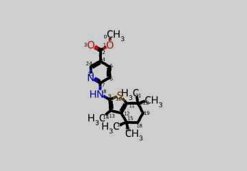 COC(=O)c1ccc(Nc2sc3c(c2C)C(C)(C)CCC3(C)C)nc1